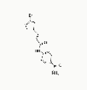 NC(=O)c1ccc(NC(=O)/C=C/c2ccc(Br)s2)cc1